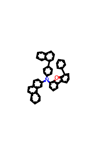 c1ccc(-c2cccc3c2oc2c(N(c4ccc(-c5cccc6ccccc56)cc4)c4ccc5ccc6ccccc6c5c4)cccc23)cc1